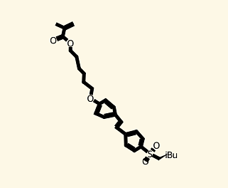 C=C(C)C(=O)OCCCCCCOc1ccc(C=Cc2ccc(S(=O)(=O)C[C@H](C)CC)cc2)cc1